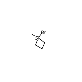 C[Si]1(Br)CCC1